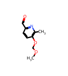 COCOc1ccc(C=O)nc1C